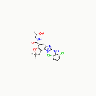 CC(O)CNC(=O)c1cc2nc(Nc3c(Cl)cccc3Cl)[nH]c2c2c1OC(C)(C)C2